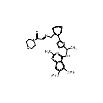 COc1cc2nc(C)nc(NC(C)c3ccc(-c4ccccc4CN=CC(=O)N4CCOCC4)s3)c2cc1OC